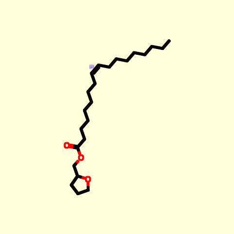 CCCCCCCC/C=C\CCCCCCCC(=O)OCC1CCCO1